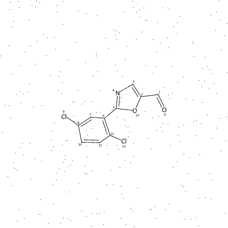 O=Cc1cnc(-c2cc(Cl)ccc2Cl)o1